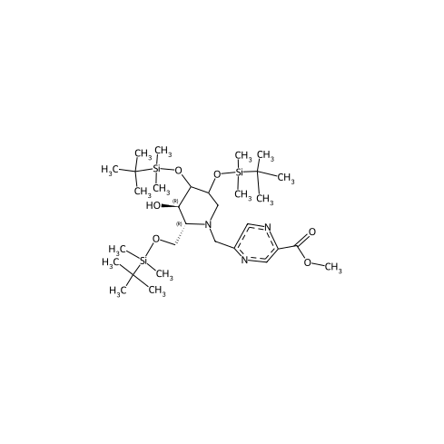 COC(=O)c1cnc(CN2CC(O[Si](C)(C)C(C)(C)C)C(O[Si](C)(C)C(C)(C)C)[C@H](O)[C@H]2CO[Si](C)(C)C(C)(C)C)cn1